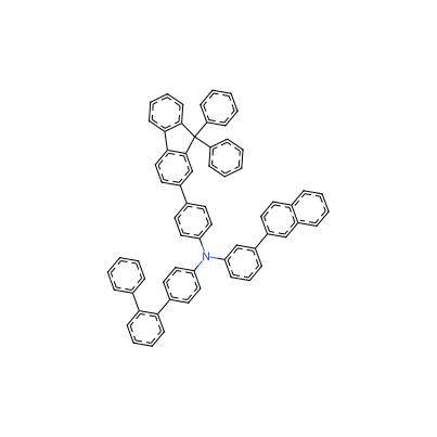 c1ccc(-c2ccccc2-c2ccc(N(c3ccc(-c4ccc5c(c4)C(c4ccccc4)(c4ccccc4)c4ccccc4-5)cc3)c3cccc(-c4ccc5ccccc5c4)c3)cc2)cc1